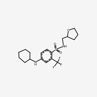 O=S(=O)(NCC1CCCO1)c1ccc(NC2CCCCC2)cc1C(F)(F)F